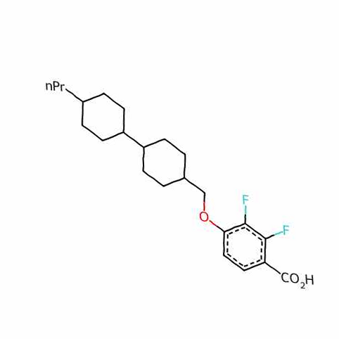 CCCC1CCC(C2CCC(COc3ccc(C(=O)O)c(F)c3F)CC2)CC1